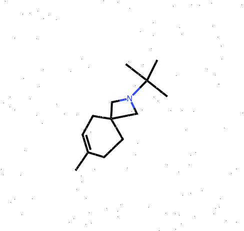 CC1=CCC2(CC1)CN(C(C)(C)C)C2